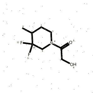 CC1CCN(C(=O)CO)CC1(F)F